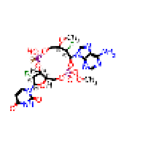 COOP1(=O)OC[C@H]2O[C@@H](n3ccc(=O)[nH]c3=O)[C@H](F)[C@@H]2OP(O)(=S)OC[C@@H](OC)[C@@H](F)[C@@H](n2cnc3c(N)ncnc32)O1